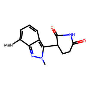 CNc1cccc2c(C3CCC(=O)NC3=O)n(C)nc12